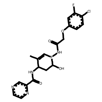 CC1=CP(NC(=O)COc2ccc(Cl)c(F)c2)C(O)CC1NC(=O)c1cnccn1